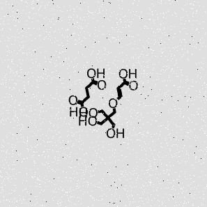 O=C(O)C=COCC(CO)(CO)CO.O=C(O)CCC(=O)O